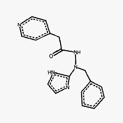 O=C(Cc1ccncc1)NN(Cc1ccccc1)c1ncc[nH]1